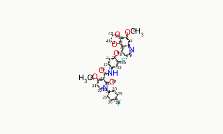 COc1cc2nccc(Oc3ccc(NC(=O)c4c(OC)ccn(-c5ccc(F)cc5)c4=O)cc3F)c2c2c1OCCO2